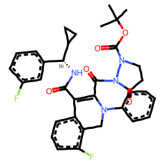 CC(C)(C)OC(=O)N1CCC(=O)N1C(=O)C1=C(C(=O)N[C@H](c2cccc(F)c2)C2CC2)c2cccc(F)c2CN1c1ccccc1